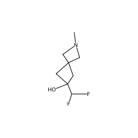 CN1CC2(C1)CC(O)(C(F)F)C2